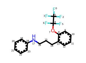 FC(F)(F)C(F)(F)Oc1ccccc1CCCNc1cc[c]cc1